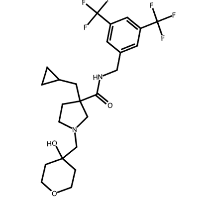 O=C(NCc1cc(C(F)(F)F)cc(C(F)(F)F)c1)C1(CC2CC2)CCN(CC2(O)CCOCC2)C1